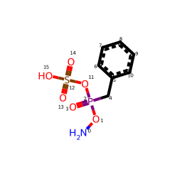 NOP(=O)(Cc1ccccc1)OS(=O)(=O)O